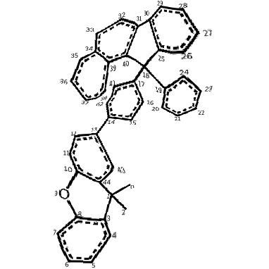 CC1(C)c2ccccc2Oc2ccc(-c3ccc(C4(c5ccccc5)c5ccccc5-c5ccc6ccccc6c54)cc3)cc21